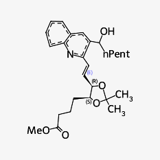 CCCCCC(O)c1cc2ccccc2nc1/C=C/[C@H]1OC(C)(C)O[C@H]1CCCC(=O)OC